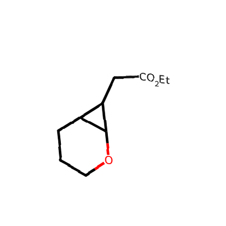 CCOC(=O)CC1C2CCCOC21